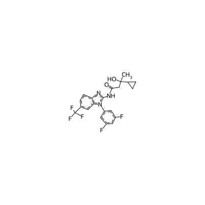 CC(O)(CC(=O)Nc1nc2ccc(C(F)(F)F)cc2n1-c1cc(F)cc(F)c1)C1CC1